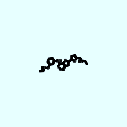 C=CPOc1cccc(Nc2ncnc3cc(-c4ccc(CNCC)o4)sc23)c1